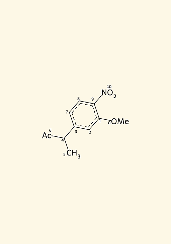 COc1cc(C(C)C(C)=O)ccc1[N+](=O)[O-]